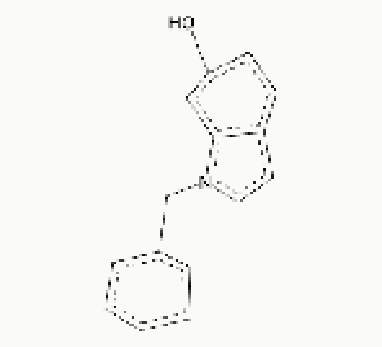 Oc1ccc2ccn(Cc3ccccc3)c2c1